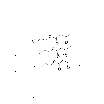 CCCOC(=O)CC(C)=O.CCCOC(=O)CC(C)=O.CCCOC(=O)CC(C)=O.[Al]